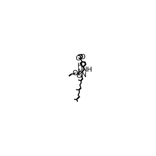 C=CCOC(=O)N/C(=N\C/C=C(\C)CC/C=C(\C)CCC=C(C)C)Nc1ccc(C2OCCO2)cc1